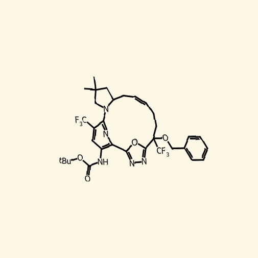 CC1(C)CC2CC=CCCC(OCc3ccccc3)(C(F)(F)F)c3nnc(o3)-c3nc(c(C(F)(F)F)cc3NC(=O)OC(C)(C)C)N2C1